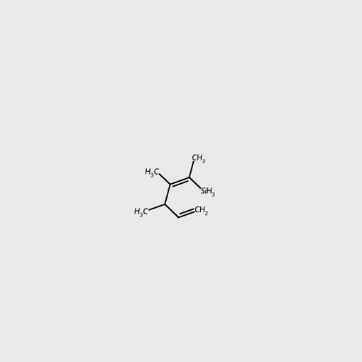 C=CC(C)C(C)=C(C)[SiH3]